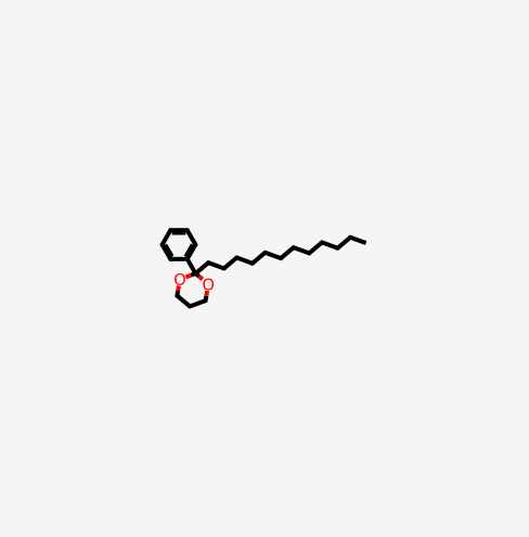 CCCCCCCCCCCCC1(c2ccccc2)OCCCO1